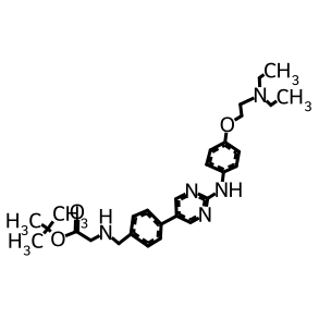 CCN(CC)CCOc1ccc(Nc2ncc(-c3ccc(CNCC(=O)OC(C)(C)C)cc3)cn2)cc1